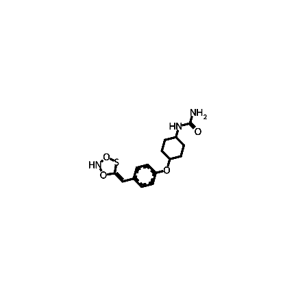 NC(=O)NC1CCC(Oc2ccc(C=C3ONOS3)cc2)CC1